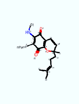 CCCCCC1=C(NCC)C(=O)C2=C(OC(C)(CCC=C(C)C)C=C2)C1=O